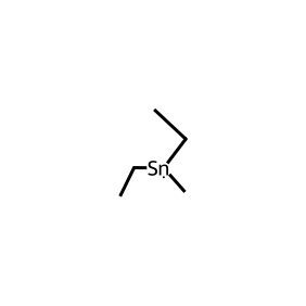 C[CH2][Sn]([CH3])[CH2]C